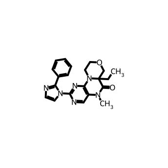 CCC12COCCN1c1nc(-n3ccnc3-c3ccccc3)ncc1N(C)C2=O